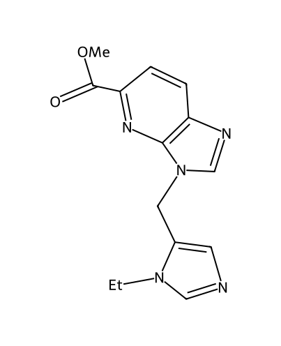 CCn1cncc1Cn1cnc2ccc(C(=O)OC)nc21